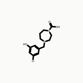 O=C(O)N1CCCN(Cc2cc(O)cc(Cl)c2)CC1